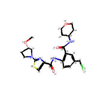 CO[C@H]1CCN(c2nc(C(=O)Nc3ccc(CCl)cc3C(=O)NC3CCOCC3)cs2)C1